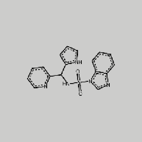 O=S(=O)(NC(c1ccccn1)c1ccc[nH]1)n1cnc2ccccc21